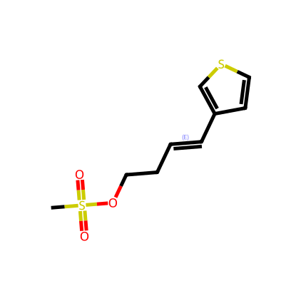 CS(=O)(=O)OCC/C=C/c1ccsc1